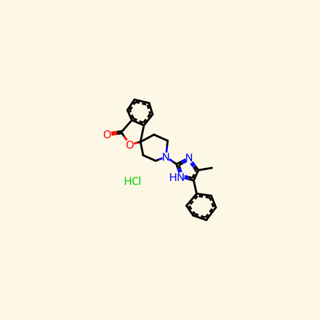 Cc1nc(N2CCC3(CC2)OC(=O)c2ccccc23)[nH]c1-c1ccccc1.Cl